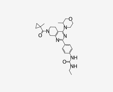 CCNC(=O)Nc1ccc(-c2nc3c(c(N4CCOCC4C)n2)CCN(C(=O)C2(C)CC2)C3)cc1